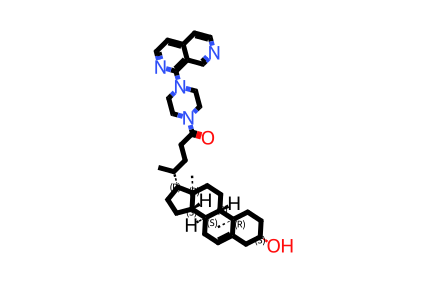 CC(CCC(=O)N1CCN(c2nccc3ccncc23)CC1)[C@H]1CC[C@H]2[C@@H]3CC=C4C[C@@H](O)CC[C@]4(C)[C@H]3CC[C@]12C